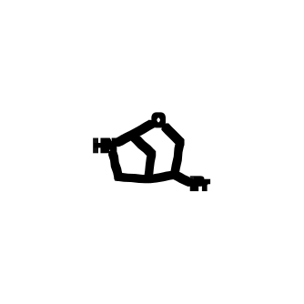 CC(C)C1COC2CC1CN2